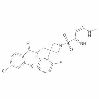 CN/N=C\C(=N)S(=O)(=O)N1CC(CNC(=O)c2ccc(Cl)cc2Cl)(c2ncccc2F)C1